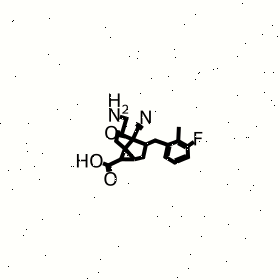 CCC12C(CC(Cc3cccc(F)c3C)C1(C#N)C(=O)CN)C2C(=O)O